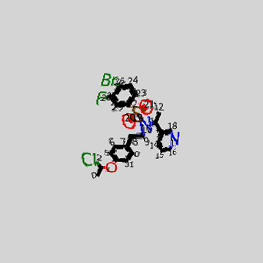 CC(Cl)Oc1ccc(CCN(C(C)c2cccnc2)S(=O)(=O)c2ccc(Br)c(F)c2)cc1